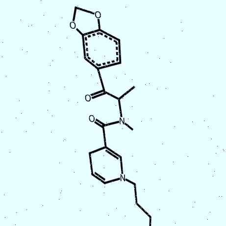 CCCCN1C=CCC(C(=O)N(C)C(C)C(=O)c2ccc3c(c2)OCO3)=C1